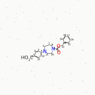 O=C(O)c1ccc(N2CCCN(C(=O)OCc3ccccc3)CC2)cc1